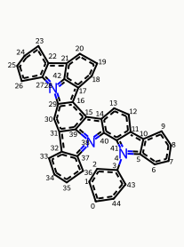 c1ccc(-n2c3ccccc3c3ccc4c5c6c7cccc8c9ccccc9n(c6cc6c9ccccc9n(c65)c4c32)c87)cc1